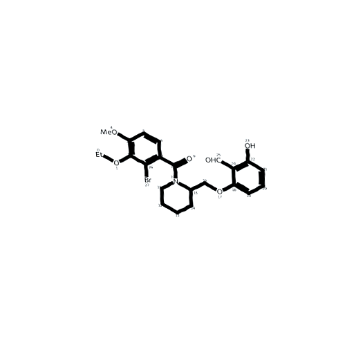 CCOc1c(OC)ccc(C(=O)N2CCCCC2COc2cccc(O)c2C=O)c1Br